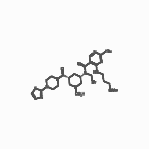 COCCCNc1nc(C(C)(C)C)ncc1C(=O)N(CC(C)C)[C@H]1C[C@@H](C(=O)N2CCN(c3nccs3)CC2)CN(C(=O)O)C1